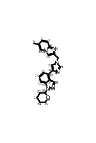 Cc1ccc2nc(Cn3cnc(-c4cccc5c4cnn5C4CCCCO4)c3)cn2c1